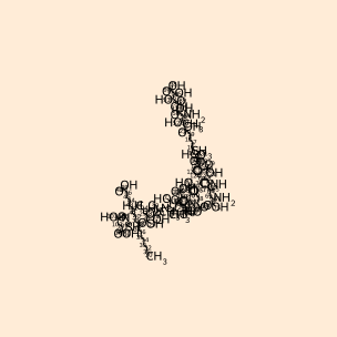 CC(C)[C@H](N)C(=O)O.CC=C(C)C(=O)O.CC=CC=CC(=O)O.CCCCC(=O)O.CCCCCCCCCCCCCCCCCC(=O)O.C[C@@H](O)[C@H](N)C(=O)O.N#CS.N[C@@H](Cc1c[nH]c2ccccc12)C(=O)O.N[C@@H](Cc1ccc(O)cc1)C(=O)O.O=C(O)C(O)C(O)C(=O)O.O=C(O)CCC(=O)O.O=C(O)c1ccc(C(=O)O)cc1.O=C(O)c1ccccc1OS(=O)(=O)O